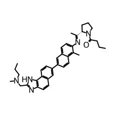 CCCC(=O)N1CCC[C@H]1/C(C)=N/c1ccc2cc(-c3ccc4c(ccc5nc(CN(C)CCC)[nH]c54)c3)ccc2c1C